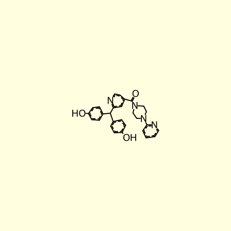 O=C(c1ccnc(C(c2ccc(O)cc2)c2ccc(O)cc2)c1)N1CCN(c2ccccn2)CC1